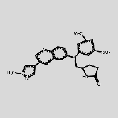 COc1cc(OC)cc(N(CC2CCC(=O)N2)c2ccc3ncc(-c4cnn(C)c4)cc3c2)c1